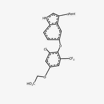 CCCCCc1c[nH]c2ccc(Oc3c(Cl)cc(OCC(=O)O)cc3C(F)(F)F)cc12